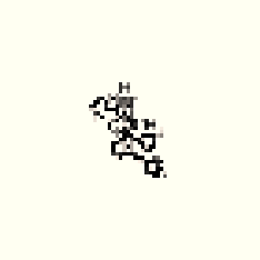 C[C@H](NC(=O)c1c(N)nn2cccnc12)c1nc2cccc(C#Cc3ccncc3)n2c1-c1ccccc1